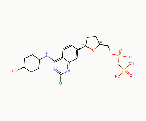 O=P(O)(O)CP(=O)(O)OC[C@@H]1CC[C@H](c2ccc3c(NC4CCC(O)CC4)nc(Cl)nc3c2)O1